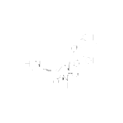 C=CCO[C@@H]1C[C@H](n2cc(C#CCN)c(=O)[nH]c2=O)O[C@@H]1CO